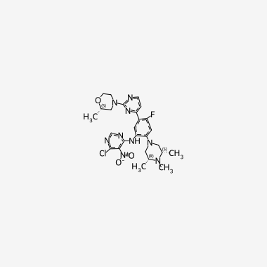 C[C@@H]1CN(c2cc(F)c(-c3ccnc(N4CCO[C@@H](C)C4)n3)cc2Nc2ncnc(Cl)c2[N+](=O)[O-])C[C@H](C)N1C